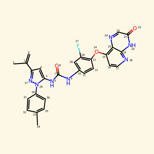 C=C(C)c1cc(NC(=O)Nc2ccc(Oc3ccnc4[nH]c(=O)cnc34)c(F)c2)n(-c2ccc(C)cc2)n1